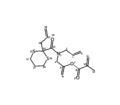 C=CCN(CC(=C)OC(=O)C(=C)C)C(=O)C1(CC=C)SCCCS1